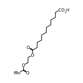 CC(C)(C)C(=O)OCCOC(=O)CCCCCCCCCCC(=O)O